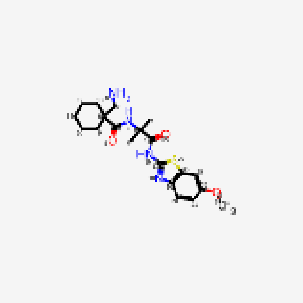 CC(C)(NC(=O)C1(CN)CCCCC1)C(=O)Nc1nc2ccc(OC(F)(F)F)cc2s1